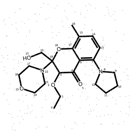 CCOC1C(=O)c2c(N3CCCC3)ccc(C)c2OC1(CO)N1CCOCC1